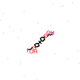 CC(C)(C1=CCC(OCC(O)CI)C=C1)c1ccc(OC[C@@H](O)CI)cc1